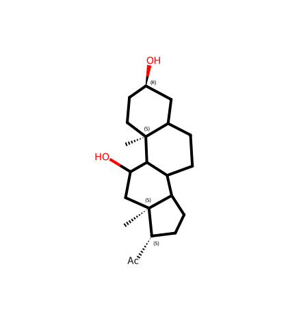 CC(=O)[C@H]1CCC2C3CCC4C[C@H](O)CC[C@]4(C)C3C(O)C[C@@]21C